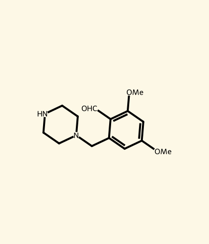 COc1cc(CN2CCNCC2)c(C=O)c(OC)c1